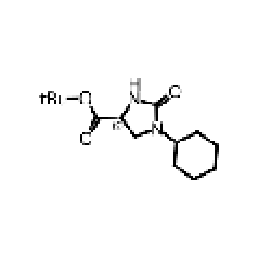 CC(C)(C)OC(=O)[C@@H]1CN(C2CCCCC2)C(=O)N1